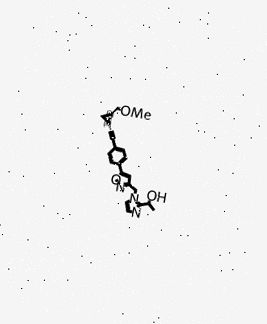 COC[C@@H]1C[C@H]1C#Cc1ccc(-c2cc(Cn3ccnc3C(C)O)no2)cc1